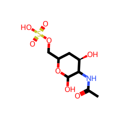 CC(=O)NC1C(O)OC(COS(=O)(=O)O)C[C@H]1O